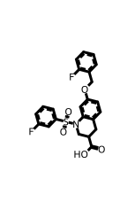 O=C(O)C1Cc2ccc(OCc3ccccc3F)cc2N(S(=O)(=O)c2cccc(F)c2)C1